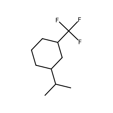 CC(C)C1CCCC(C(F)(F)F)C1